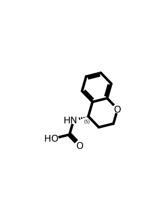 O=C(O)N[C@H]1CCOc2ccccc21